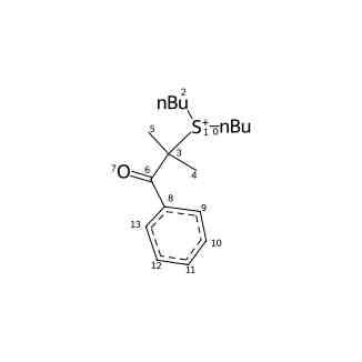 CCCC[S+](CCCC)C(C)(C)C(=O)c1ccccc1